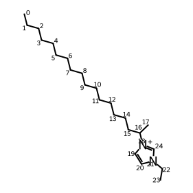 CCCCCCCCCCCCCCCCC(C)[n+]1ccn(CC)c1